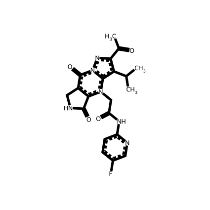 CC(=O)c1nn2c(=O)c3c(n(CC(=O)Nc4ccc(F)cn4)c2c1C(C)C)C(=O)NC3